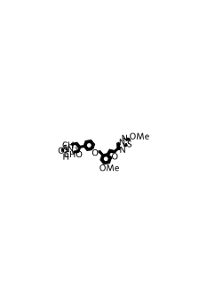 COc1cc(COc2cccc(C3=CCN([SH](C)(=O)C=O)CC3)c2)c2cc(-c3cn4nc(OC)sc4n3)oc2c1